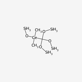 [CH3][Ge]([CH3])([O][SiH3])[C](O[SiH3])(O[SiH3])O[SiH3]